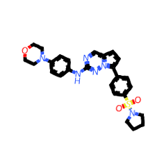 O=S(=O)(c1ccc(-c2ccc3cnc(Nc4ccc(N5CCOCC5)cc4)nn23)cc1)N1CCCC1